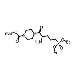 CCCCOC(=O)N1CCN(C(=O)[C@H](N)CCCP(=O)(OCC)OCC)CC1